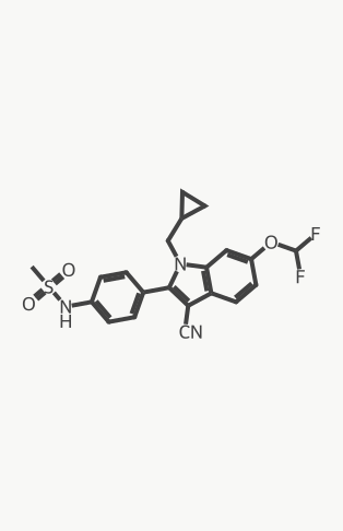 CS(=O)(=O)Nc1ccc(-c2c(C#N)c3ccc(OC(F)F)cc3n2CC2CC2)cc1